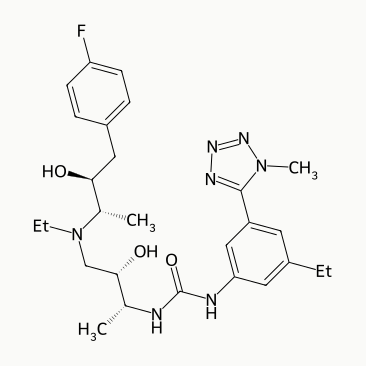 CCc1cc(NC(=O)N[C@H](C)[C@@H](O)CN(CC)[C@@H](C)[C@@H](O)Cc2ccc(F)cc2)cc(-c2nnnn2C)c1